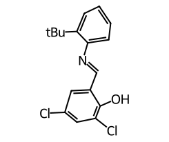 CC(C)(C)c1ccccc1/N=C/c1cc(Cl)cc(Cl)c1O